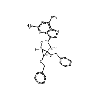 Nc1nc(N)c2ncc([C@@H]3O[C@@H]4C(OCc5ccccc5)[C@@]4(OCc4ccccc4)[C@H]3F)n2n1